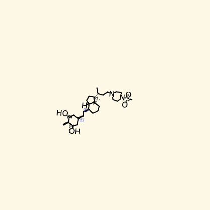 C=C1[C@H](O)C/C(=C/C=C2\CCC[C@]3(C)[C@@H](C(C)CCN4CCN(S(C)(=O)=O)CC4)CC[C@@H]23)C[C@@H]1O